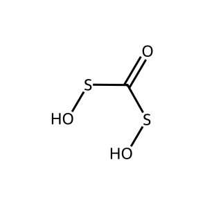 O=C(SO)SO